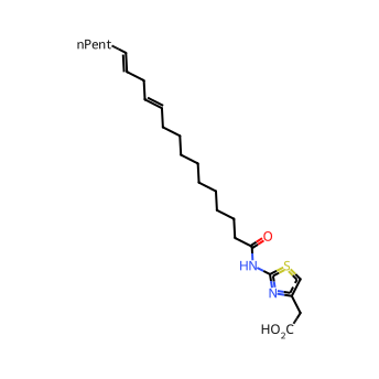 CCCCCC=CCC=CCCCCCCCCCC(=O)Nc1nc(CC(=O)O)cs1